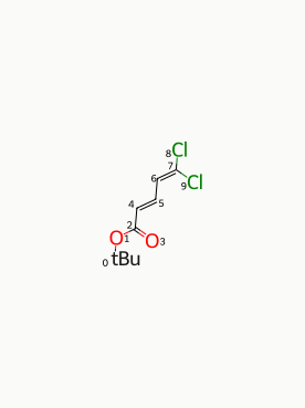 CC(C)(C)OC(=O)C=CC=C(Cl)Cl